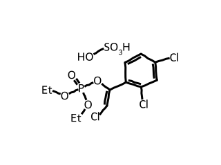 CCOP(=O)(OCC)O/C(=C\Cl)c1ccc(Cl)cc1Cl.O=S(=O)(O)O